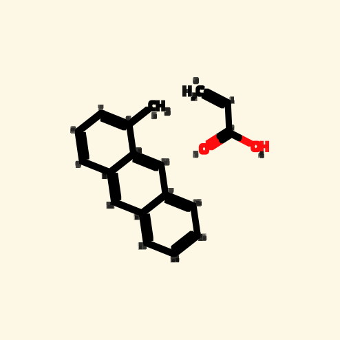 C=CC(=O)O.Cc1cccc2cc3ccccc3cc12